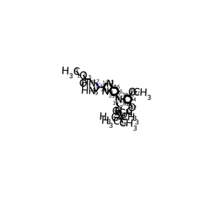 CCOC(=O)CN/C=C(\C=N)c1cnc2ccc(N(CCO[Si](C)(C)C(C)(C)C)c3cc(OC)cc(OC)c3)cc2n1